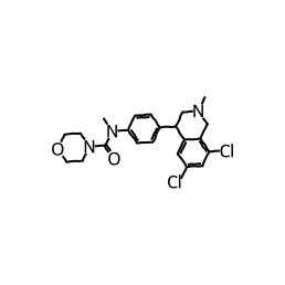 CN1Cc2c(Cl)cc(Cl)cc2C(c2ccc(N(C)C(=O)N3CCOCC3)cc2)C1